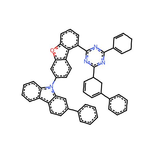 C1=CC(c2nc(C3=CCCC=C3)nc(-c3cccc4oc5cc(-n6c7ccccc7c7ccc(-c8ccccc8)cc76)ccc5c34)n2)CC(c2ccccc2)=C1